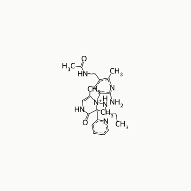 CCCN[N+]1(c2cc(CNC(C)=O)c(C)nc2N)C(C)=CNC(=O)C1(C)c1ccccn1